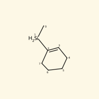 C[SiH2]C1=CCCCC1